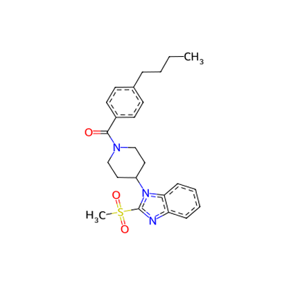 CCCCc1ccc(C(=O)N2CCC(n3c(S(C)(=O)=O)nc4ccccc43)CC2)cc1